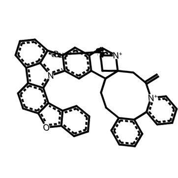 C=C1CC23Cc4cc(C(C)(C)C)cc([n+]42)-c2cc4c5cccc6c7ccc8oc9ccccc9c8c7n(c4cc2C3CCc2ccccc2-c2cccc[n+]21)c56